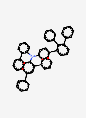 c1ccc(-c2ccc(N(c3ccc(-c4cccc(-c5ccccc5)c4-c4ccccc4)cc3)c3ccccc3-c3ccccc3)c(-c3ccccc3)c2)cc1